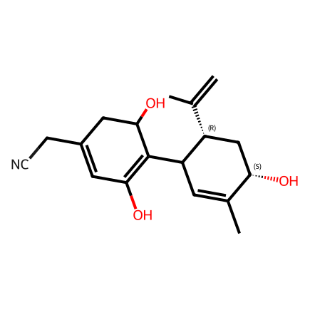 C=C(C)[C@@H]1C[C@H](O)C(C)=CC1C1=C(O)C=C(CC#N)CC1O